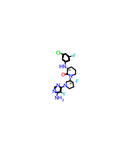 Nc1ncnc(N2CC[C@@H](F)[C@H](N3CCC[C@@H](Nc4cc(F)cc(Cl)c4)C3=O)C2)c1F